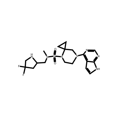 CN(CC1CC(F)(F)CN1)S(=O)(=O)N1CCN(c2ncnc3[nH]ccc23)CC12CC2